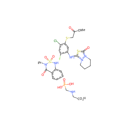 CC(C)N1C(=O)c2ccccc2NS1(=O)=O.COC(=O)CSc1cc(/N=c2\sc(=O)n3n2CCCC3)c(F)cc1Cl.O=C(O)CNCP(=O)(O)O